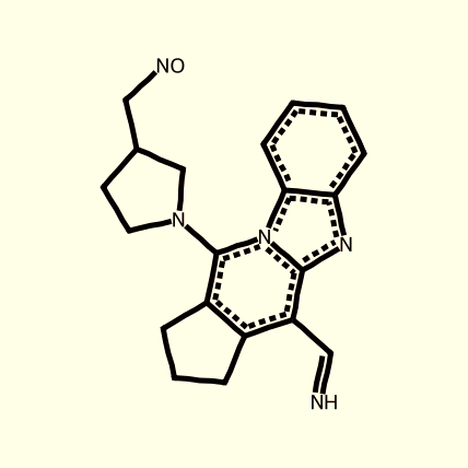 N=Cc1c2c(c(N3CCC(CN=O)C3)n3c1nc1ccccc13)CCC2